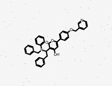 O=c1oc(-c2ccc(OCc3cccnc3)cc2)cc(O)c1C(Cc1ccccc1)N(Cc1ccccc1)c1ccccc1